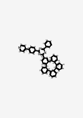 c1ccc(-c2nc(-c3ccc(-c4ccncc4)cc3)nc(-c3ccc4c5ccccc5c5ccccc5c5ccccc5c5ccccc5c4c3)n2)cc1